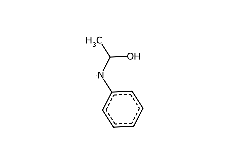 CC(O)[N]c1ccccc1